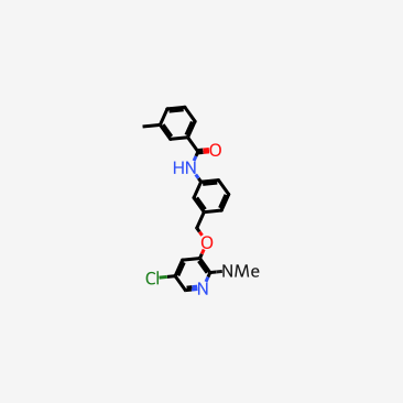 CNc1ncc(Cl)cc1OCc1cccc(NC(=O)c2cccc(C)c2)c1